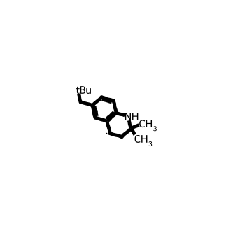 CC(C)(C)Cc1ccc2c(c1)[CH]CC(C)(C)N2